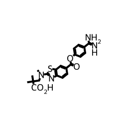 CN(CC(C)(C)C(=O)O)c1nc2ccc(C(=O)Oc3ccc(C(=N)N)cc3)cc2s1